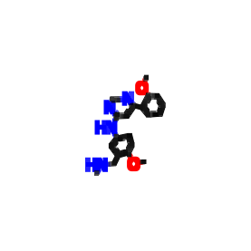 CNCc1cc(Nc2cc(-c3ccccc3OC)ncn2)ccc1OC